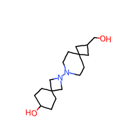 OCC1CC2(CCN(N3CC4(CCC(O)CC4)C3)CC2)C1